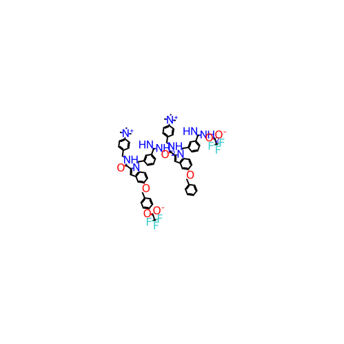 C[N+](C)(C)c1ccc(CNC(=O)c2cc3cc(OCc4ccccc4)ccc3n2Cc2cccc(C(=N)N)c2)cc1.C[N+](C)(C)c1ccc(CNC(=O)c2cc3cc(OCc4ccccc4)ccc3n2Cc2cccc(C(=N)N)c2)cc1.O=C([O-])C(F)(F)F.O=C([O-])C(F)(F)F